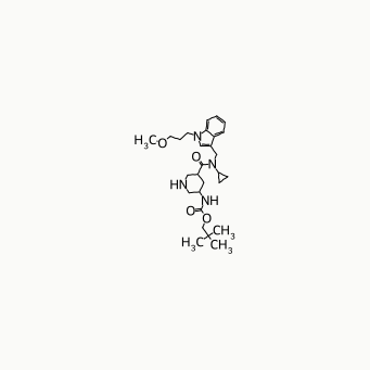 COCCCn1cc(CN(C(=O)C2CNCC(NC(=O)OCC(C)(C)C)C2)C2CC2)c2ccccc21